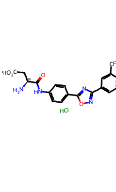 Cl.N[C@@H](CC(=O)O)C(=O)Nc1ccc(-c2nc(-c3cccc(C(F)(F)F)c3)no2)cc1